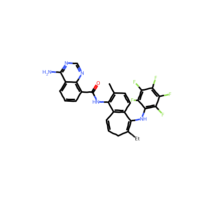 CCC1=C(Nc2c(F)c(F)c(F)c(F)c2F)c2ccc(C)c(NC(=O)c3cccc4c(N)ncnc34)c2C=CC1